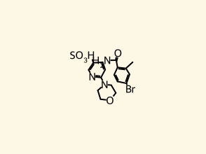 Cc1cc(Br)ccc1C(N)=O.O=S(=O)(O)c1ccc(N2CCOCC2)nc1